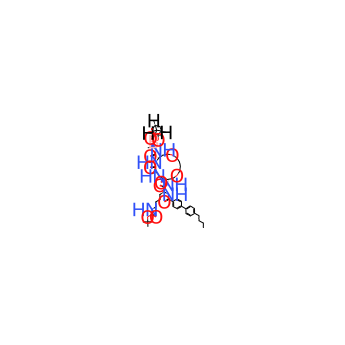 CCCCc1ccc(-c2ccc(C(=O)N[C@@H](CCCCNC(=O)OC(C)(C)C)C(=O)N[C@H]3COCCCCOCC[C@@H](C(=O)N[C@@H](C)B4O[C@@H]5C[C@@H]6C[C@@H](C6(C)C)[C@]5(C)O4)NC(=O)[C@H](C)NC3=O)cc2)cc1